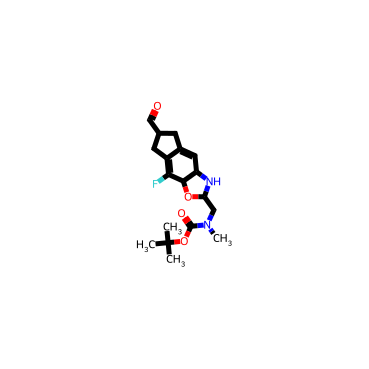 CN(CC1NC2C=C3CC(C=O)CC3=C(F)C2O1)C(=O)OC(C)(C)C